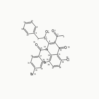 CC(=O)c1c([S+]([O-])Cc2ccccc2)n(C(=O)c2ccc(Br)cc2)c2c(Br)ccc(Cl)c2c1=O